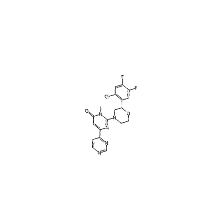 Cn1c(N2CCO[C@@H](c3cc(F)c(F)cc3Cl)C2)nc(-c2ccncn2)cc1=O